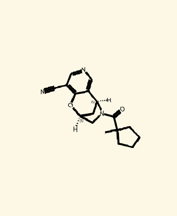 CC1(C(=O)N2C[C@@H]3C[C@H]2c2cncc(C#N)c2O3)CCCC1